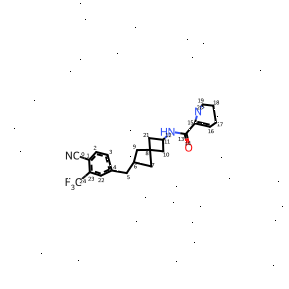 N#Cc1ccc(CC2CC3(C2)CC(NC(=O)C2=CCCC=N2)C3)cc1C(F)(F)F